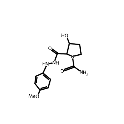 COc1ccc(NNC(=O)C2C(O)CCN2C(N)=O)cc1